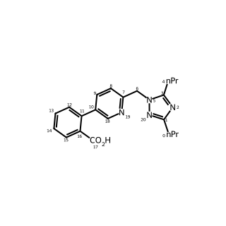 CCCc1nc(CCC)n(Cc2ccc(-c3ccccc3C(=O)O)cn2)n1